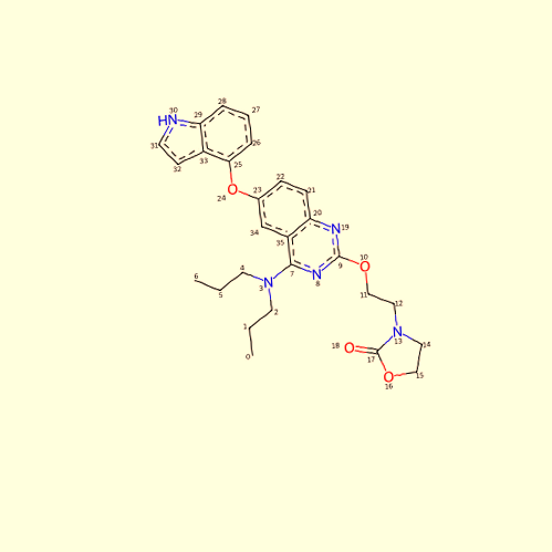 CCCN(CCC)c1nc(OCCN2CCOC2=O)nc2ccc(Oc3cccc4[nH]ccc34)cc12